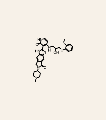 CSc1ccccc1OCC(O)CNc1cc[nH]c(=O)c1-c1nc2cc3c(cc2[nH]1)CN(C1CCN(C)CC1)C3=O